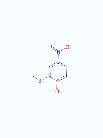 CSn1cc([N+](=O)[O-])ccc1=O